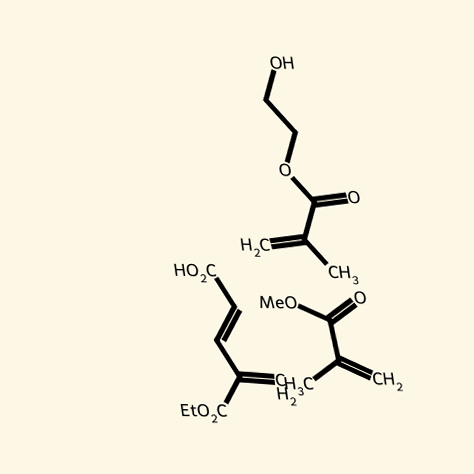 C=C(C)C(=O)OC.C=C(C)C(=O)OCCO.C=C(C=CC(=O)O)C(=O)OCC